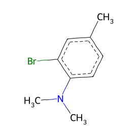 Cc1ccc(N(C)C)c(Br)c1